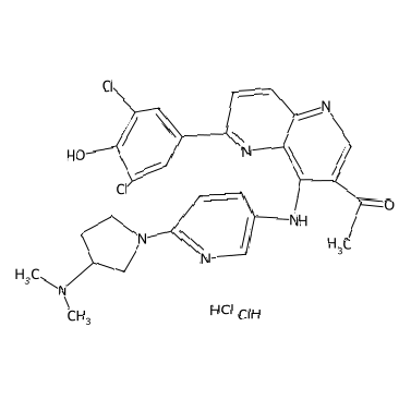 CC(=O)c1cnc2ccc(-c3cc(Cl)c(O)c(Cl)c3)nc2c1Nc1ccc(N2CCC(N(C)C)C2)nc1.Cl.Cl